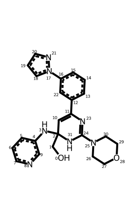 OCC1(Nc2cccnc2)C=C(c2cccc(-n3cccn3)c2)N=C(N2CCOCC2)N1